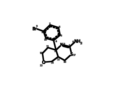 NC1=NC2(c3cccc(Br)c3)CCOCC2CS1